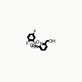 O=S(=O)(Nc1cccc(CO)n1)c1cc(F)ccc1F